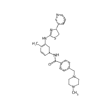 CC1=C(NC2=NC(c3cccnc3)CS2)CC(NC(=O)c2ccc(CN3CCN(C)CC3)cc2)C=C1